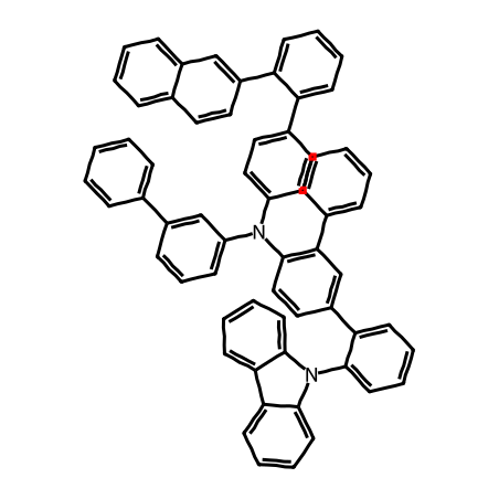 c1ccc(-c2cccc(N(c3ccc(-c4ccccc4-c4ccc5ccccc5c4)cc3)c3ccc(-c4ccccc4-n4c5ccccc5c5ccccc54)cc3-c3ccccc3)c2)cc1